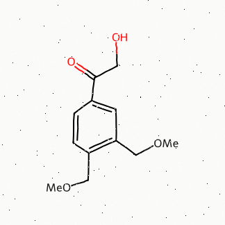 COCc1ccc(C(=O)CO)cc1COC